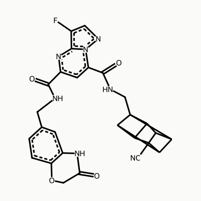 N#CC12C3C4C1C1C2C3C41CNC(=O)c1cc(C(=O)NCc2ccc3c(c2)NC(=O)CO3)nc2c(F)cnn12